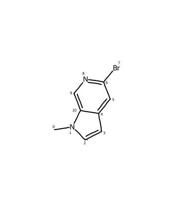 Cn1[c]cc2cc(Br)ncc21